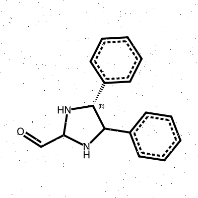 O=CC1NC(c2ccccc2)[C@@H](c2ccccc2)N1